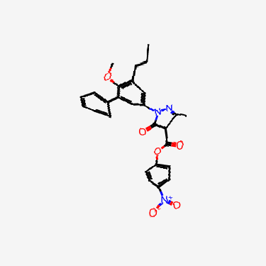 CCCc1cc(N2N=C(C)C(C(=O)Oc3ccc([N+](=O)[O-])cc3)C2=O)cc(-c2ccccc2)c1OC